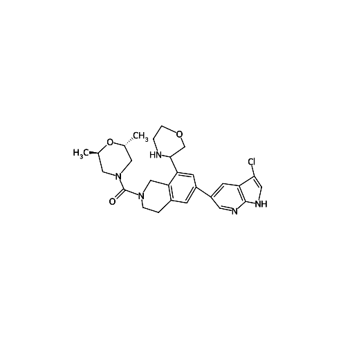 C[C@@H]1CN(C(=O)N2CCc3cc(-c4cnc5[nH]cc(Cl)c5c4)cc(C4COCCN4)c3C2)C[C@@H](C)O1